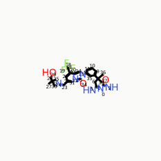 CN(C=N)C(=N)CC1(c2cccc(-n3cc4c(C(F)(F)F)cc(CN5CC(C)(CO)C5)cn4c3=O)c2)COC1